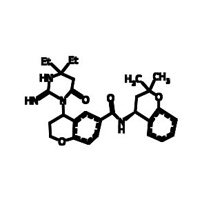 CCC1(CC)CC(=O)N(C2CCOc3ccc(C(=O)N[C@H]4CC(C)(C)Oc5ccccc54)cc32)C(=N)N1